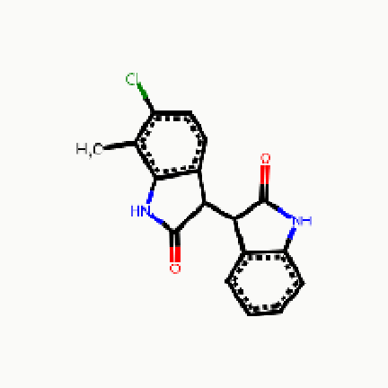 Cc1c(Cl)ccc2c1NC(=O)C2C1C(=O)Nc2ccccc21